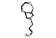 CC(=O)/C=C/CN1CC2OCCOSC2C1